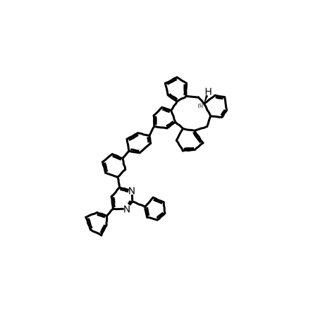 C1=CCC2C(=C1)CC1C=CC=C[C@H]1Cc1ccccc1-c1ccc(-c3ccc(C4=CC=CC(c5cc(-c6ccccc6)nc(-c6ccccc6)n5)C4)cc3)cc12